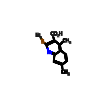 CCSc1nc2cc(C)ccc2c(C)c1C(=O)O